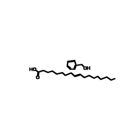 CCCCCCCCC=CCCCCCCCC(=O)O.OCc1ccccc1